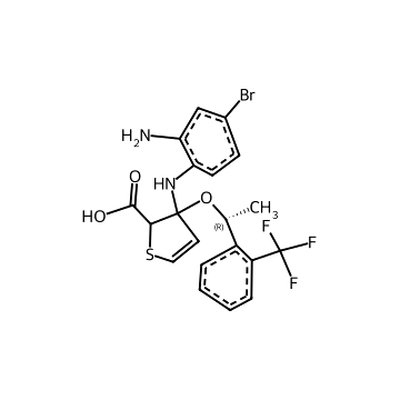 C[C@@H](OC1(Nc2ccc(Br)cc2N)C=CSC1C(=O)O)c1ccccc1C(F)(F)F